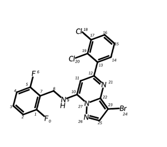 Fc1cccc(F)c1CNc1cc(-c2cccc(Cl)c2Cl)nc2c(Br)cnn12